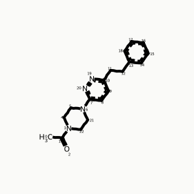 CC(=O)N1CCN(c2ccc(CCc3c[c]ccc3)nn2)CC1